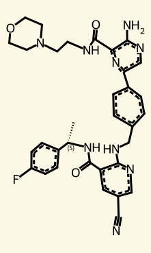 C[C@H](NC(=O)c1cc(C#N)cnc1NCc1ccc(-c2cnc(N)c(C(=O)NCCN3CCOCC3)n2)cc1)c1ccc(F)cc1